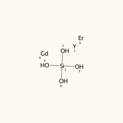 O[Si](O)(O)O.[Er].[Gd].[Y]